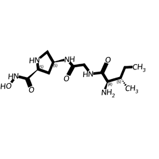 CC[C@H](C)[C@@H](N)C(=O)NCC(=O)N[C@@H]1CN[C@H](C(=O)NO)C1